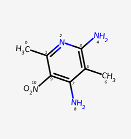 Cc1nc(N)c(C)c(N)c1[N+](=O)[O-]